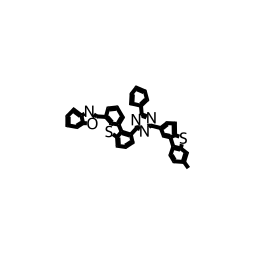 Cc1ccc2c(c1)sc1ccc(-c3nc(-c4ccccc4)nc(-c4cccc5sc6c(-c7nc8ccccc8o7)cccc6c45)n3)cc12